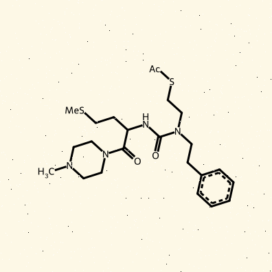 CSCCC(NC(=O)N(CCSC(C)=O)CCc1ccccc1)C(=O)N1CCN(C)CC1